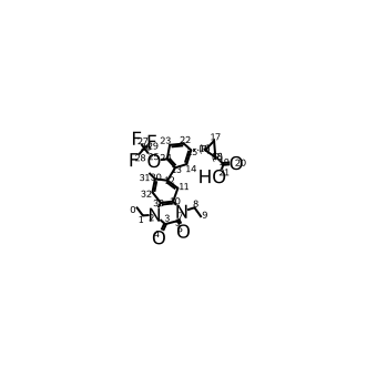 CCn1c(=O)c(=O)n(CC)c2cc(-c3cc([C@@H]4C[C@H]4C(=O)O)ccc3OC(F)(F)F)c(C)cc21